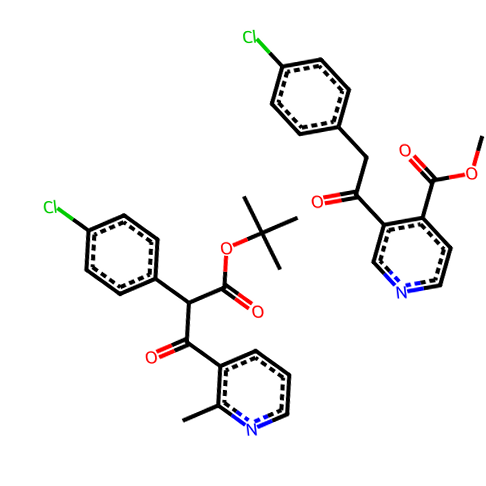 COC(=O)c1ccncc1C(=O)Cc1ccc(Cl)cc1.Cc1ncccc1C(=O)C(C(=O)OC(C)(C)C)c1ccc(Cl)cc1